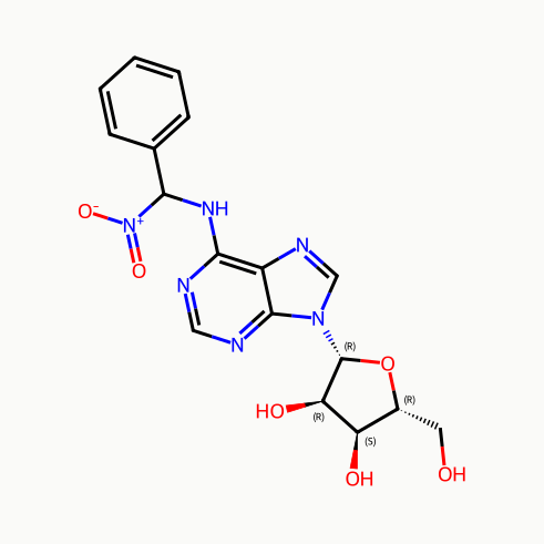 O=[N+]([O-])C(Nc1ncnc2c1ncn2[C@@H]1O[C@H](CO)[C@@H](O)[C@H]1O)c1ccccc1